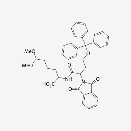 COC(CCCC(NC(=O)C(CCOC(c1ccccc1)(c1ccccc1)c1ccccc1)N1C(=O)c2ccccc2C1=O)C(=O)O)OC